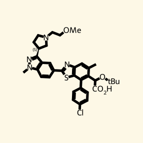 COCCN1CC[C@H](c2nn(C)c3ccc(-c4nc5cc(C)c(C(OC(C)(C)C)C(=O)O)c(-c6ccc(Cl)cc6)c5s4)cc23)C1